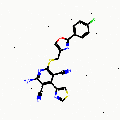 N#Cc1c(N)nc(SCc2coc(-c3ccc(Cl)cc3)n2)c(C#N)c1-c1cscn1